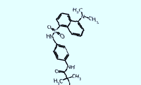 CN(C)c1cccc2c(S(=O)(=O)Nc3ccc(NC(=O)C(C)(C)CO)cc3)cccc12